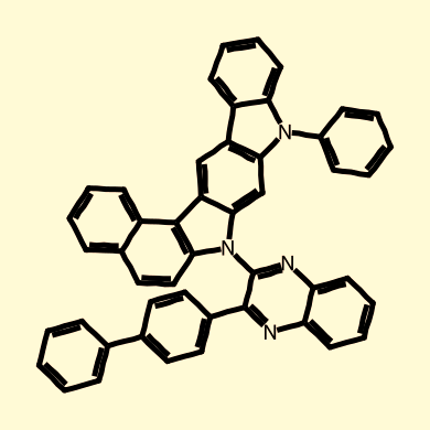 c1ccc(-c2ccc(-c3nc4ccccc4nc3-n3c4cc5c(cc4c4c6ccccc6ccc43)c3ccccc3n5-c3ccccc3)cc2)cc1